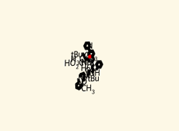 Cc1cccc(CN2CCN([C@H](C(=O)N[C@@H](Cc3ccccc3)[C@@H](O)C[C@H](Cc3ccc(-c4ccccn4)cc3)NC(=O)[C@@H](NC(=O)O)C(C)(C)CC(C)(C)C)C(C)(C)C)C2=O)n1